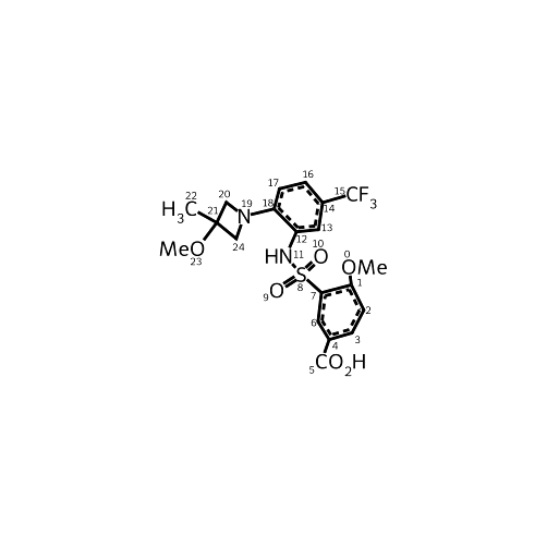 COc1ccc(C(=O)O)cc1S(=O)(=O)Nc1cc(C(F)(F)F)ccc1N1CC(C)(OC)C1